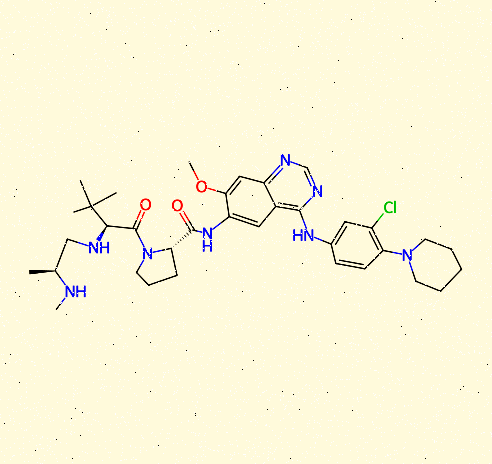 CN[C@@H](C)CN[C@H](C(=O)N1CCC[C@H]1C(=O)Nc1cc2c(Nc3ccc(N4CCCCC4)c(Cl)c3)ncnc2cc1OC)C(C)(C)C